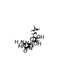 C=P(C)(C)CC[C@H]1O[C@@H](n2cnc3c(=O)[nH]c(N)nc32)[C@@](C)(O)[C@@H]1O